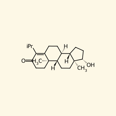 CC(C)C1=C2CC[C@H]3[C@@H]4CC[C@H](O)[C@@]4(C)CC[C@@H]3[C@@]2(C)CCC1=O